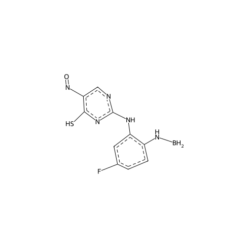 BNc1ccc(F)cc1Nc1ncc(N=O)c(S)n1